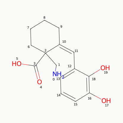 NCC1(C(=O)O)CCCC/C1=C/c1cccc(O)c1O